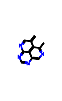 C=c1cnc2ncnc3cnc(C)c1c32